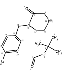 CC(C)(C)OC=O.O=C1CNCCN1Cc1ccc(Cl)nc1